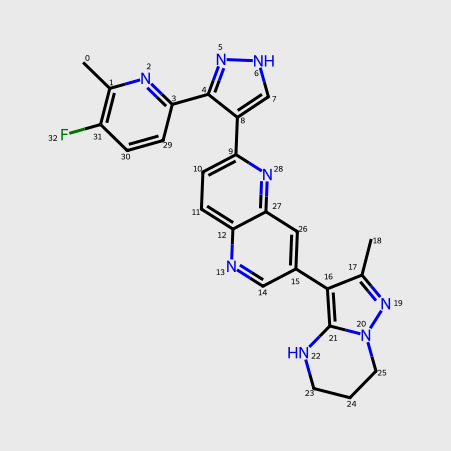 Cc1nc(-c2n[nH]cc2-c2ccc3ncc(-c4c(C)nn5c4NCCC5)cc3n2)ccc1F